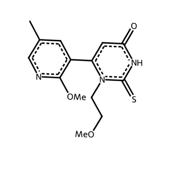 COCCn1c(-c2cc(C)cnc2OC)cc(=O)[nH]c1=S